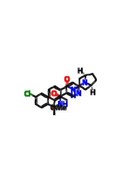 COc1cccc(C(=O)N[C@H]2C[C@H]3CC[C@@H](C2)N3c2ccc(C(=O)N[C@@H](C)c3ccc(Cl)cc3)cn2)c1C